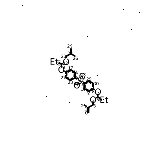 C=C(C)COC(CC)Oc1ccc(S(=O)(=O)c2ccc(OC(CC)OCC(=C)C)cc2)cc1